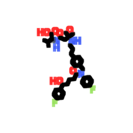 CC(C)[C@@H](NC(=O)CC1(NCCCc2ccc(CN(C(=O)CCCC(O)c3ccc(F)cc3)c3ccc(F)cc3)cc2)COC1)C(=O)O